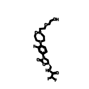 O=C(NC[C@H]1CN(c2ccc(N3CCON(CCOCCO)CC3)c(F)c2)C(=O)O1)C(F)F